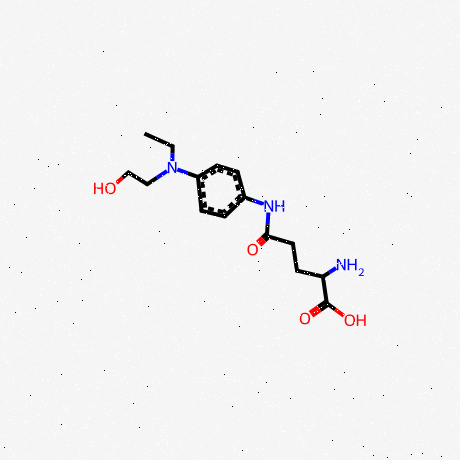 CCN(CCO)c1ccc(NC(=O)CCC(N)C(=O)O)cc1